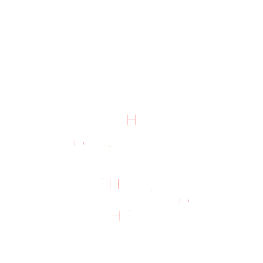 O=C(O)C(=Cc1ccccc1)P(=O)(O)O